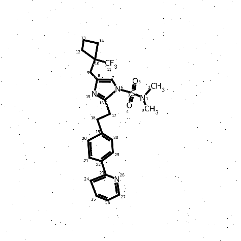 CN(C)S(=O)(=O)n1cc(CC2(C(F)(F)F)CCC2)nc1CCc1ccc(-c2ccccn2)cc1